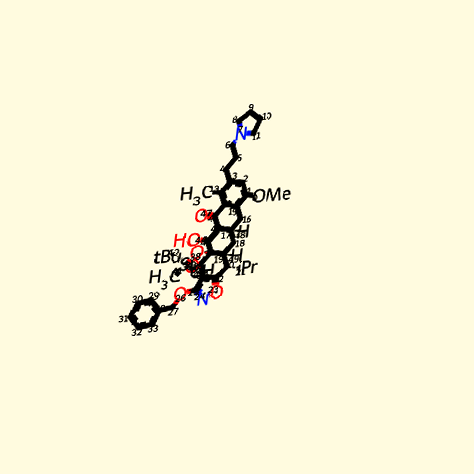 COc1cc(CCCN2CCCC2)c(C)c2c1C[C@H]1C[C@H]3[C@H](C(C)C)c4onc(OCc5ccccc5)c4C(=O)[C@@]3(O[Si](C)(C)C(C)(C)C)C(O)=C1C2=O